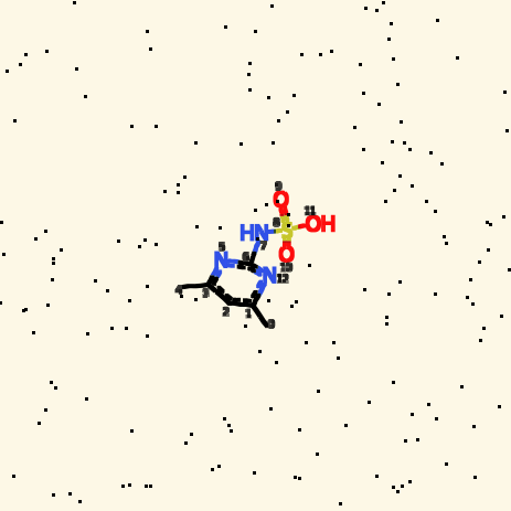 Cc1cc(C)nc(NS(=O)(=O)O)n1